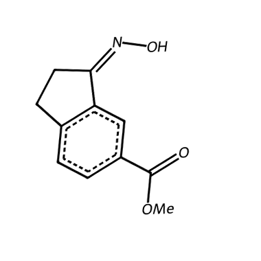 COC(=O)c1ccc2c(c1)/C(=N\O)CC2